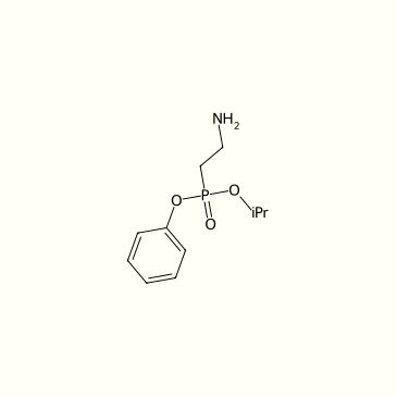 CC(C)OP(=O)(CCN)Oc1ccccc1